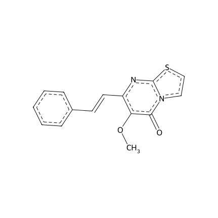 COc1c(/C=C/c2ccccc2)nc2sccn2c1=O